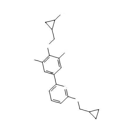 O=C(O)C1CC1COc1c(F)cc(-c2cccc(OCC3CC3)n2)cc1F